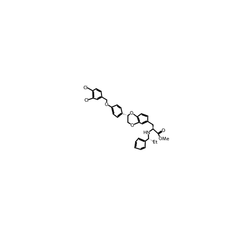 CC[C@@H](N[C@@H](Cc1ccc2c(c1)OC[C@H](c1ccc(OCc3ccc(Cl)c(Cl)c3)cc1)O2)C(=O)OC)c1ccccc1